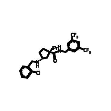 CC(C)[C@]1(C(=O)NCc2cc(C(F)(F)F)cc(C(F)(F)F)c2)CC[C@@H](NCc2ccccc2Cl)C1